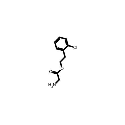 NCC(=O)OCCc1ccccc1Cl